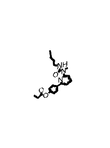 CCCCNC(=O)N(C)c1cccc(-c2ccc(OC(=O)CC)cc2)n1